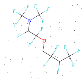 FC(C(F)(F)F)C(F)(F)COC(F)(F)C(F)N(C(F)(F)F)C(F)(F)F